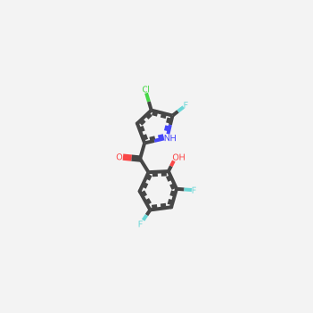 O=C(c1cc(Cl)c(F)[nH]1)c1cc(F)cc(F)c1O